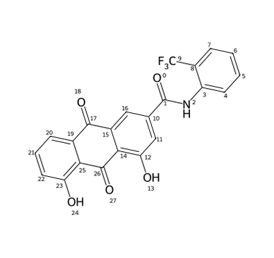 O=C(Nc1ccccc1C(F)(F)F)c1cc(O)c2c(c1)C(=O)c1cccc(O)c1C2=O